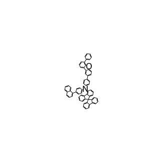 c1ccc(-c2cccc3c2oc2ccc(-c4ccc(N(c5ccc(-c6cccc7ccccc67)cc5)c5cccc6c5-c5ccccc5C65c6ccccc6-c6ccccc65)cc4)cc23)cc1